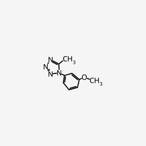 COc1cccc(-n2nnnc2C)c1